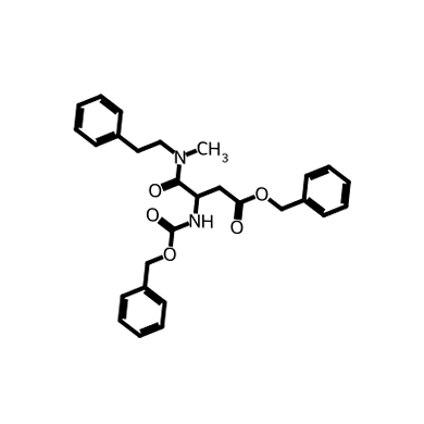 CN(CCc1ccccc1)C(=O)C(CC(=O)OCc1ccccc1)NC(=O)OCc1ccccc1